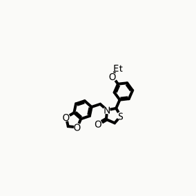 CCOc1cccc(C2SCC(=O)N2Cc2ccc3c(c2)OCO3)c1